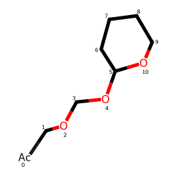 CC(=O)COCOC1CCCCO1